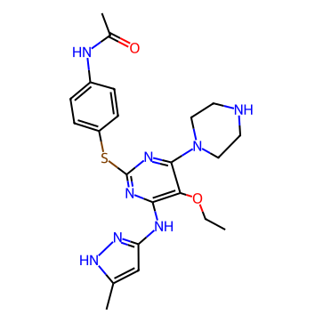 CCOc1c(Nc2cc(C)[nH]n2)nc(Sc2ccc(NC(C)=O)cc2)nc1N1CCNCC1